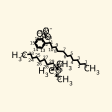 CCCCCCCCCCCCc1ccccc1S(=O)(=O)[O-].CCCCCCCC[N+](C)(C)OCC